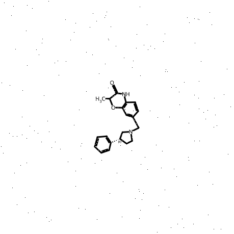 CC1Oc2cc(CN3CC[C@H](c4ccccc4)C3)ccc2NC1=O